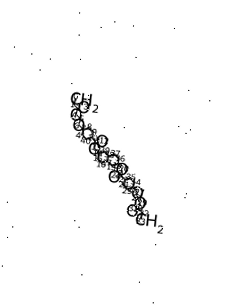 C=CC(=O)OCOc1ccc(C(=O)Oc2ccc3cc(OC(=O)c4ccc(OCOC(=O)C=C)cc4)ccc3c2)cc1